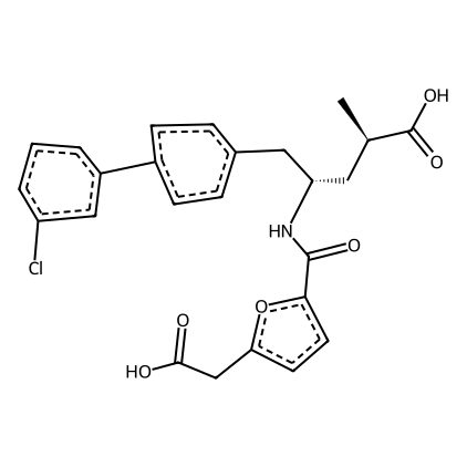 C[C@H](C[C@@H](Cc1ccc(-c2cccc(Cl)c2)cc1)NC(=O)c1ccc(CC(=O)O)o1)C(=O)O